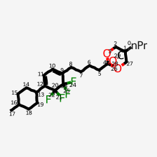 CCCC12COC(CCCCC3=CC=C(C4CCC(C)CC4)C(F)(F)C3(F)F)(OC1)OC2